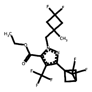 CCOC(=O)c1c(C(F)(F)F)c(C23CC(C2)C3(F)F)nn1CC1(C)CC(F)(F)C1